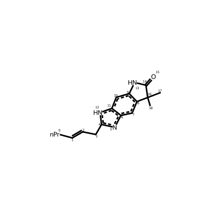 CCCC=CCc1nc2cc3c(cc2[nH]1)NC(=O)C3(C)C